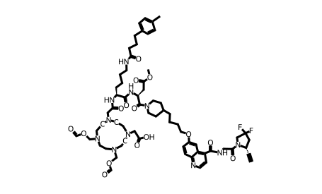 C#C[C@H]1CC(F)(F)CN1C(=O)CNC(=O)c1ccnc2ccc(OCCCCC3CCN(C(=O)[C@H](CC(=O)OC)NC(=O)[C@H](CCCCNC(=O)CCCc4ccc(C)cc4)NC(=O)CN4CCN(COC=O)CCN(COC=O)CCN(CC(=O)O)CC4)CC3)cc12